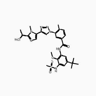 COc1c(NC(=O)c2ccc(C)c(-n3cc(-c4cnc(C(C)O)n4C)nn3)c2)cc(C(C)(C)C)cc1NS(C)(=O)=O